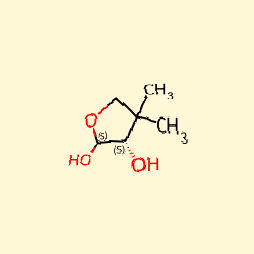 CC1(C)CO[C@H](O)[C@H]1O